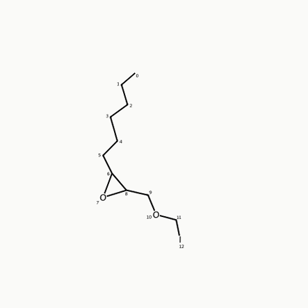 CCCCCCC1OC1COCI